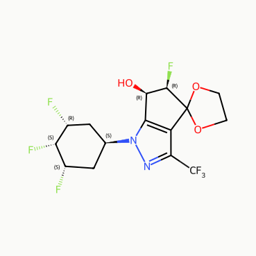 O[C@@H]1c2c(c(C(F)(F)F)nn2[C@@H]2C[C@@H](F)[C@@H](F)[C@@H](F)C2)C2(OCCO2)[C@@H]1F